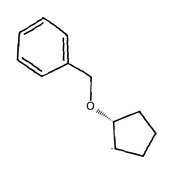 [CH]1CCC[C@H]1OCc1ccccc1